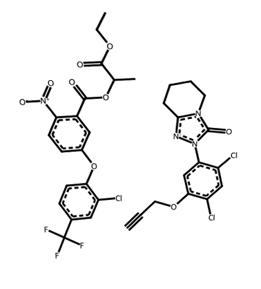 C#CCOc1cc(-n2nc3n(c2=O)CCCC3)c(Cl)cc1Cl.CCOC(=O)C(C)OC(=O)c1cc(Oc2ccc(C(F)(F)F)cc2Cl)ccc1[N+](=O)[O-]